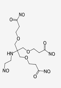 O=NCCNC(COCCC(=O)N=O)(COCCC(=O)N=O)COCCC(=O)N=O